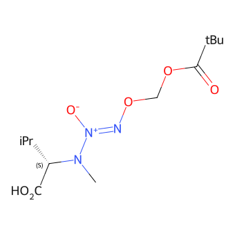 CC(C)[C@@H](C(=O)O)N(C)[N+]([O-])=NOCOC(=O)C(C)(C)C